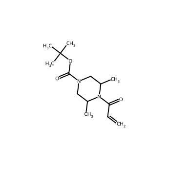 C=CC(=O)N1C(C)CN(C(=O)OC(C)(C)C)CC1C